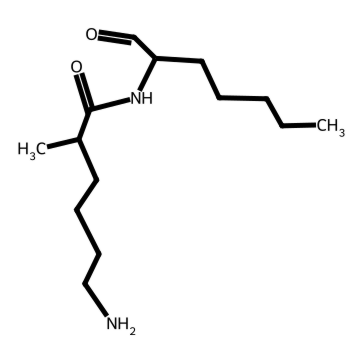 CCCCCC(C=O)NC(=O)C(C)CCCCN